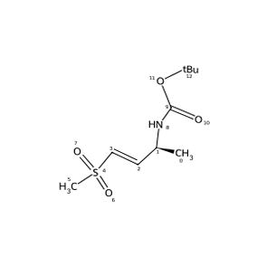 C[C@@H](/C=C/S(C)(=O)=O)NC(=O)OC(C)(C)C